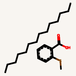 CCCCCCCCCCCCCC.CSc1ccccc1C(=O)O